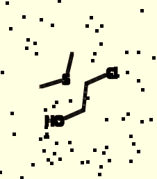 CSC.OCCCl